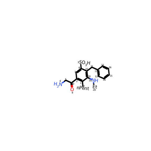 CCCCCc1c(C(=O)CN)cc(S(=O)(=O)O)c(Cc2ccccc2)c1NCC